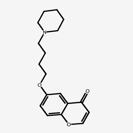 O=c1ccoc2ccc(OCCCCN3CCCCC3)cc12